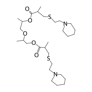 CC(COC(=O)C(C)CSCCN1CCCCC1)OCC(C)OC(=O)C(C)CSCCN1CCCCC1